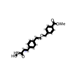 COC(=O)c1ccc(CON=Cc2ccc(/C=C/C(=O)NO)cc2)cc1